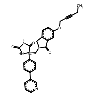 CCC#CCOc1ccc2c(c1)C(=O)N(C[C@@]1(c3ccc(-c4cccnc4)cc3)NC(=O)NC1=O)C2